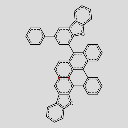 c1ccc(-c2cc(-c3c4ccccc4c(-c4ccccc4-c4cccc5c4oc4ccccc45)c4ccccc34)c3oc4ccccc4c3c2)cc1